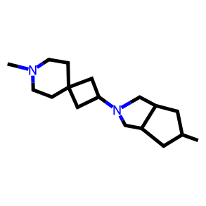 CC1CC2CN(C3CC4(CCN(C)CC4)C3)CC2C1